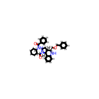 O=C(N[C@@H]1CCCC[C@@H]1C(=O)N1CC[C@@H]2[C@H]1c1ccccc1N[C@@H]2COCc1ccccc1)c1ccccc1